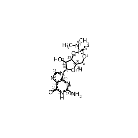 CN(C)P1(=S)OC[C@H]2O[C@@H](n3cnc4c(=O)[nH]c(N)nc43)C(O)C2O1